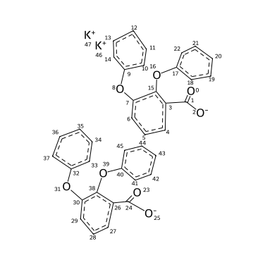 O=C([O-])c1cccc(Oc2ccccc2)c1Oc1ccccc1.O=C([O-])c1cccc(Oc2ccccc2)c1Oc1ccccc1.[K+].[K+]